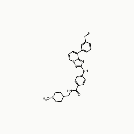 CN1CCC(CNC(=O)c2ccc(Nc3nc4c(-c5cccc(CF)c5)cccn4n3)cc2)CC1